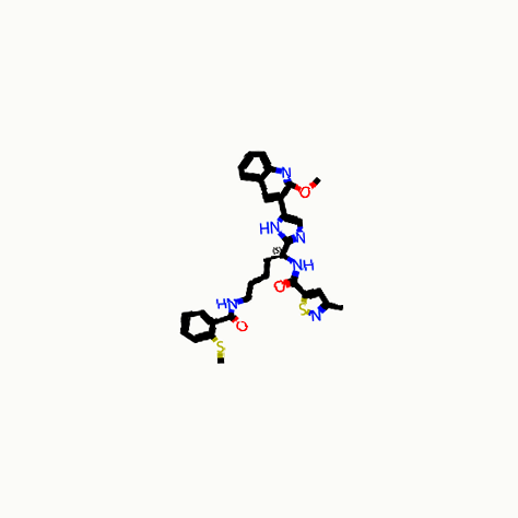 COc1nc2ccccc2cc1-c1cnc([C@H](CCCCNC(=O)c2ccccc2SC)NC(=O)c2cc(C)ns2)[nH]1